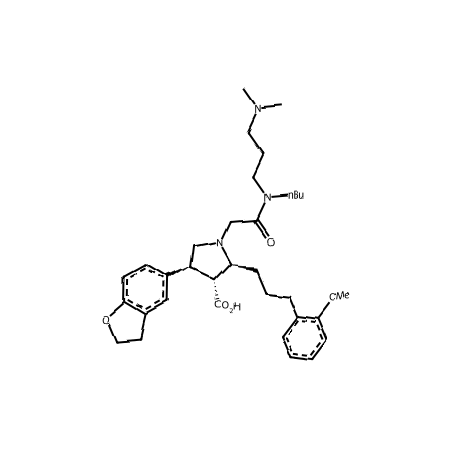 CCCCN(CCCN(C)C)C(=O)CN1C[C@H](c2ccc3c(c2)CCO3)[C@@H](C(=O)O)[C@@H]1CCCc1ccccc1OC